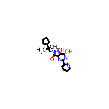 CC(C)(CNC(=O)c1nc(-c2ccccn2)nc(O)c1O)C1CCCC1